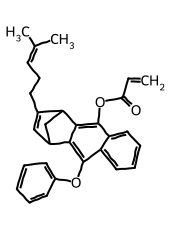 C=CC(=O)Oc1c2c(c(Oc3ccccc3)c3ccccc13)C1C=C(CCC=C(C)C)C2C1